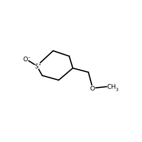 COCC1CC[S+]([O-])CC1